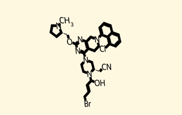 CN1CCC[C@H]1COc1nc2c(c(N3CCN(C(O)/C=C/CBr)[C@@H](CC#N)C3)n1)CCN(c1cccc3cccc(Cl)c13)C2